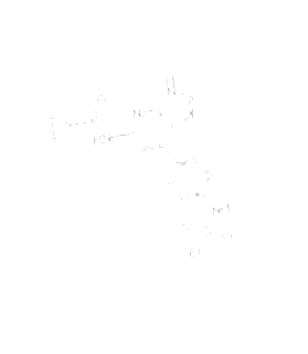 CCS(=O)(=O)Nc1ccc(-c2cc(NC(=O)C3CC3)nc3[nH]ccc23)cc1